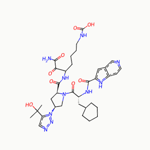 CC(C)(O)c1cnnn1[C@H]1C[C@@H](C(=O)NC(CCCCNC(=O)O)C(=O)C(N)=O)N(C(=O)[C@@H](CC2CCCCC2)NC(=O)c2cc3cnccc3[nH]2)C1